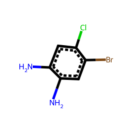 Nc1cc(Cl)c(Br)cc1N